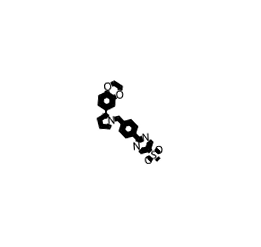 CS(=O)(=O)c1cnc(-c2ccc(CN3CCC[C@H]3c3ccc4c(c3)OCCO4)cc2)nc1